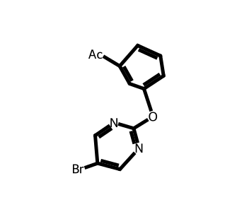 CC(=O)c1cccc(Oc2ncc(Br)cn2)c1